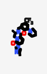 Cc1cn(-c2ccc3n(c2=O)C[C@@H](C)N(Cc2cc(N4CCCCC4)cc(C(F)(F)F)c2)C3=O)cn1